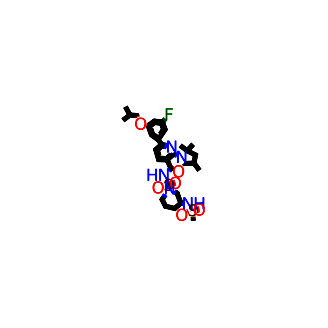 CC(C)COc1cc(F)cc(-c2ccc(C(=O)NS(=O)(=O)N3CCCC(NS(C)(=O)=O)C3)c(N3CC(C)CC3(C)C)n2)c1